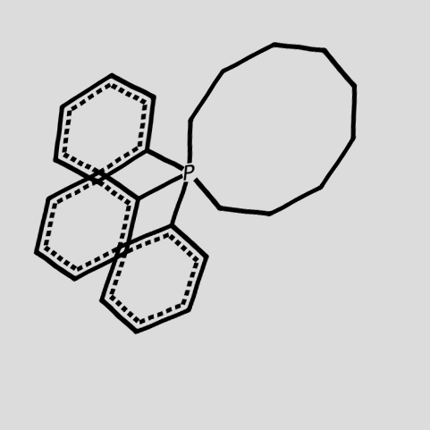 c1ccc(P2(c3ccccc3)(c3ccccc3)CCCCCCCCC2)cc1